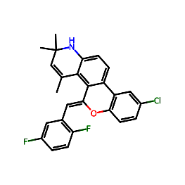 CC1=CC(C)(C)Nc2ccc3c(c21)C(=Cc1cc(F)ccc1F)Oc1ccc(Cl)cc1-3